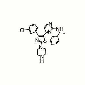 C[C@H](Nc1nccc(-c2sc(N3CCNCC3)nc2-c2cccc(Cl)c2)n1)c1ccccc1